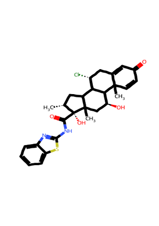 C[C@@H]1CC2C3C([C@@H](O)CC2(C)[C@@]1(O)C(=O)Nc1nc2ccccc2s1)C1(C)C=CC(=O)C=C1C[C@H]3Cl